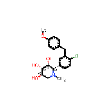 CCOc1ccc(Cc2cc([C@H]3[C@H](O)[C@@H](O)[C@H](O)CN3C)ccc2Cl)cc1